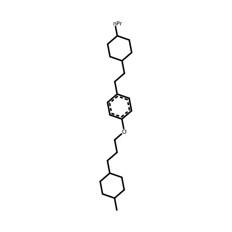 CCCC1CCC(CCc2ccc(OCCCC3CCC(C)CC3)cc2)CC1